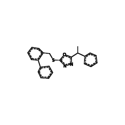 CC(c1ccccc1)c1nnc(SCc2ccccc2-c2ccccc2)o1